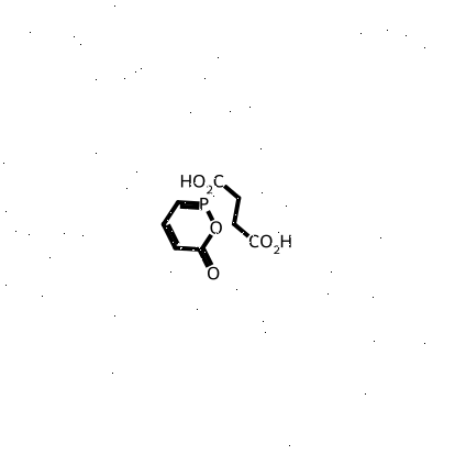 O=C(O)CCC(=O)O.O=c1cccpo1